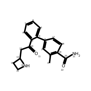 Cc1cc(-c2ccccc2C(=O)[CH]C2CCN2)ccc1C(N)=O